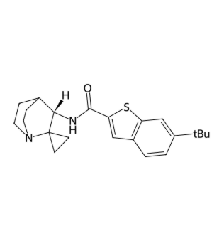 CC(C)(C)c1ccc2cc(C(=O)N[C@H]3C4CCN(CC4)C34CC4)sc2c1